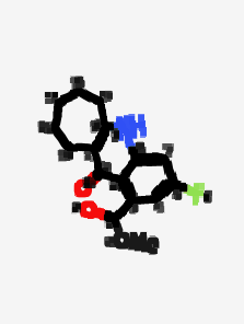 COC(=O)c1cc(F)cc2[nH]c3c(c(=O)c12)CCCCC3